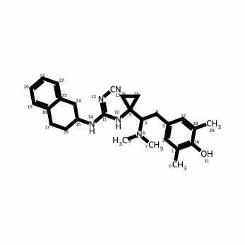 Cc1cc(CC(N(C)C)C2(NC(=NC#N)NC3CCc4ccccc4C3)CC2)cc(C)c1O